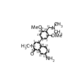 COc1cc(-c2cn(C)c(=O)c3cc(N)ncc23)cc(OC)c1CN(C)C